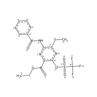 CCOC(=O)c1nc(NC(=O)c2ccccc2)c(CC)nc1OS(=O)(=O)C(F)(F)F